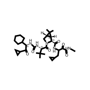 CNC(=O)C(=O)C(CC1CC1)NC(=O)[C@@H]1[C@@H]2[C@H](CN1C(=O)[C@@H](NC(=O)N[C@H](C(=O)C1CC1)C1CCCCC1)C(C)(C)C)C2(C)C